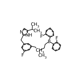 CCCCB(c1ccccc1F)c1ccccc1F.CCc1cc(F)cc(Cc2ncc(C(C)C)[nH]2)c1